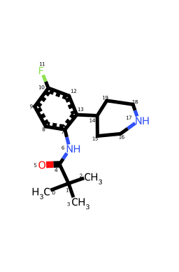 CC(C)(C)C(=O)Nc1ccc(F)cc1C1CCNCC1